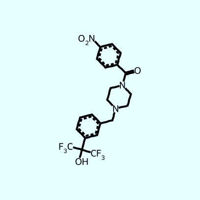 O=C(c1ccc([N+](=O)[O-])cc1)N1CCN(Cc2cccc(C(O)(C(F)(F)F)C(F)(F)F)c2)CC1